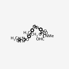 CNC(=O)C(CCC=O)N1C(=O)c2ccc(N3CC4(CCN4c4ccc(C(C)(C)c5ccc(Oc6cnc(-c7noc(C)n7)nc6)cc5)cc4)C3)cc2C1=O